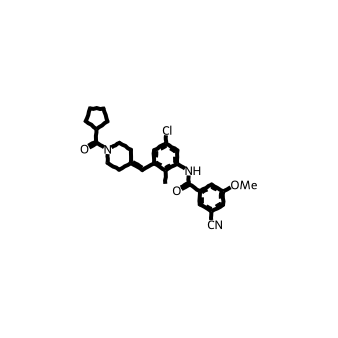 COc1cc(C#N)cc(C(=O)Nc2cc(Cl)cc(C=C3CCN(C(=O)C4CCCC4)CC3)c2C)c1